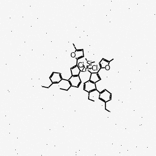 CCc1cccc(-c2c(CC)ccc3c2C=C(c2ccc(C)o2)[CH]3[Zr]([Cl])([Cl])([CH]2C(c3ccc(C)o3)=Cc3c2ccc(CC)c3-c2cccc(CC)c2)=[Si](C)C)c1